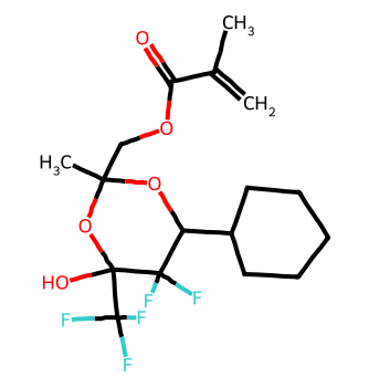 C=C(C)C(=O)OCC1(C)OC(C2CCCCC2)C(F)(F)C(O)(C(F)(F)F)O1